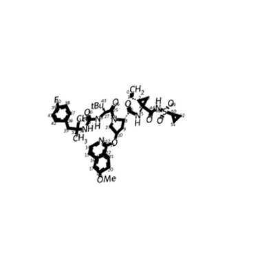 C=C[C@@H]1C[C@]1(NC(=O)[C@@H]1CC(Oc2nccc3cc(OC)ccc23)CN1C(=O)[C@@H](NC(=O)NC(C)(C)Cc1ccc(F)cc1)C(C)(C)C)C(=O)NS(=O)(=O)C1CC1